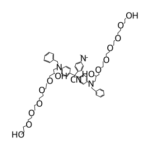 CN(C)c1ccc(C(C#N)(c2ccc(N(Cc3ccccc3)CC(O)COCCOCCOCCOCCOCCO)cc2)c2ccc(N(Cc3ccccc3)CC(O)COCCOCCOCCOCCOCCO)cc2)cc1